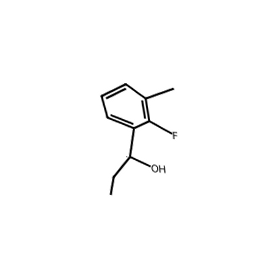 CC[C](O)c1cccc(C)c1F